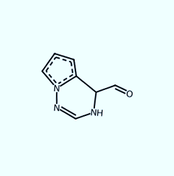 O=CC1NC=Nn2cccc21